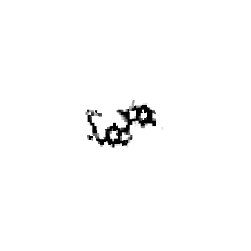 COCCN(C)Cc1ccc2c(c1)COC2=C1C(=O)Nc2ccc(F)cc21